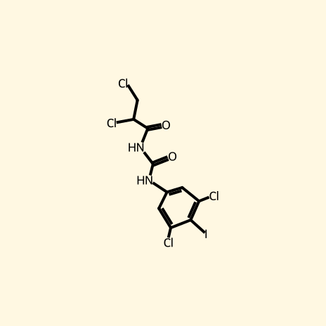 O=C(NC(=O)C(Cl)CCl)Nc1cc(Cl)c(I)c(Cl)c1